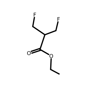 CCOC(=O)C(CF)CF